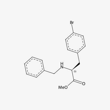 COC(=O)[C@H](Cc1ccc(Br)cc1)NCc1ccccc1